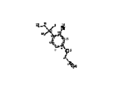 C#CCOc1ccc(C(C)(C)CC)c(Br)c1